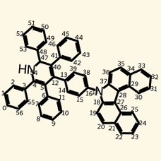 c1ccc(C2=C(c3ccccc3)C(c3ccc(-n4c5ccc6ccccc6c5c5c6ccccc6ccc54)cc3)=C(c3ccccc3)C(c3ccccc3)N2)cc1